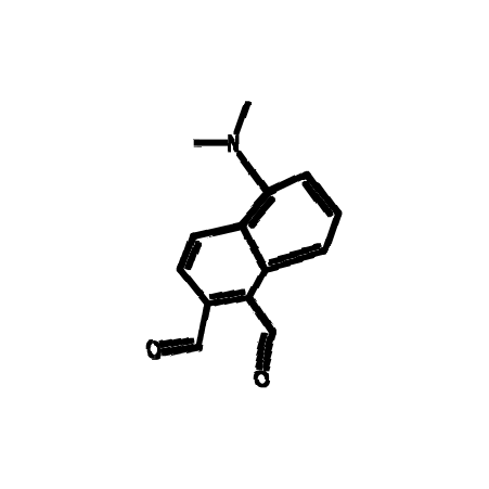 CN(C)c1cccc2c(C=O)c(C=O)ccc12